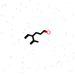 C=CC(CCC=O)C(=C)C